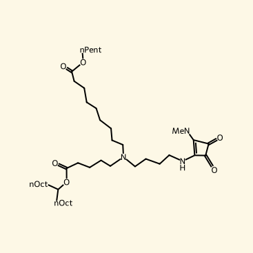 CCCCCCCCC(CCCCCCCC)OC(=O)CCCCN(CCCCCCCCC(=O)OCCCCC)CCCCNc1c(NC)c(=O)c1=O